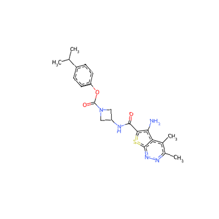 Cc1nnc2sc(C(=O)NC3CN(C(=O)Oc4ccc(C(C)C)cc4)C3)c(N)c2c1C